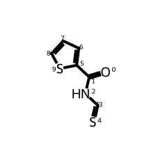 O=C(N[C]=S)c1cccs1